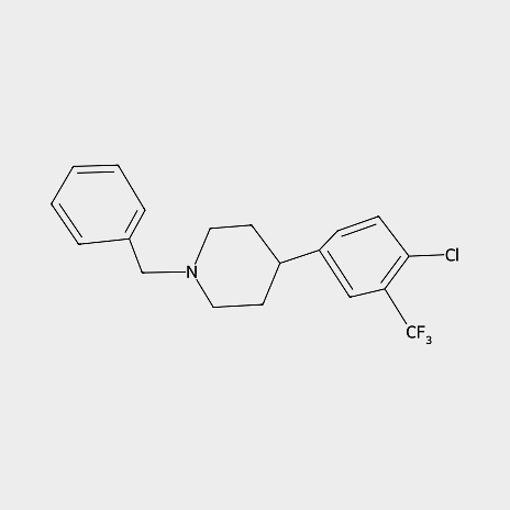 FC(F)(F)c1cc(C2CCN(Cc3ccccc3)CC2)ccc1Cl